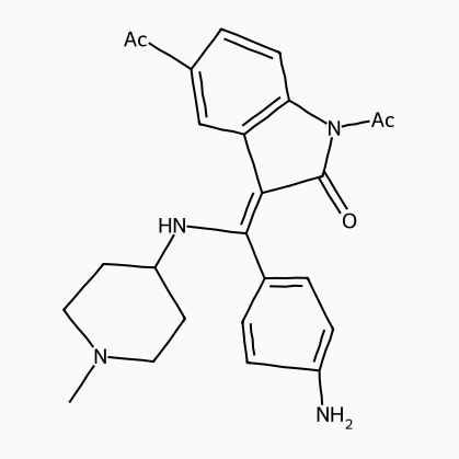 CC(=O)c1ccc2c(c1)C(=C(NC1CCN(C)CC1)c1ccc(N)cc1)C(=O)N2C(C)=O